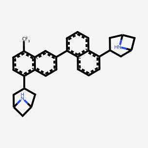 FC(F)(F)c1ccc(C2CC3CC(C2)N3)c2ccc(-c3cccc4c(C5CC6CC(C5)N6)cccc34)cc12